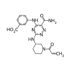 C=CC(=O)N1CCCC(Nc2nnc(C(N)=O)c(Nc3cccc(C(=O)O)c3)n2)C1